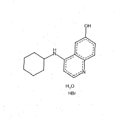 Br.O.Oc1ccc2nccc(NC3CCCCC3)c2c1